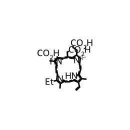 C=Cc1c(C)c2cc3nc(c(CC(=O)O)c4[nH]c(cc5nc(cc1[nH]2)C(C)=C5CC)c(C)c4C(=O)O)C(CCC(=O)O)[C@@H]3C